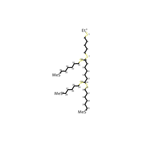 CCSCCCCCSC(CCCCCC(SCCCCCCSC)SCCCCCSC)SCCCCCCSC